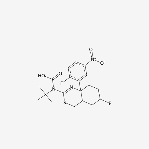 CC(C)(C)N(C(=O)O)C1=NC2(c3cc([N+](=O)[O-])ccc3F)CCC(F)CC2CS1